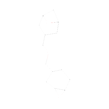 C1CC2OC2CC1COCC1CC2CC(C1)O2